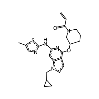 C=CC(=O)N1CCCC(Oc2nc(Nc3ncc(C)s3)cc3c2ccn3CC2CC2)C1